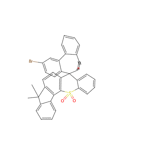 CC1(C)c2ccccc2-c2c1ccc1c2S(=O)(=O)c2ccccc2C12c1ccccc1-c1ccccc1-c1cc(Br)ccc12